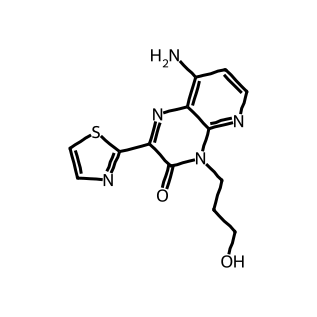 Nc1ccnc2c1nc(-c1nccs1)c(=O)n2CCCO